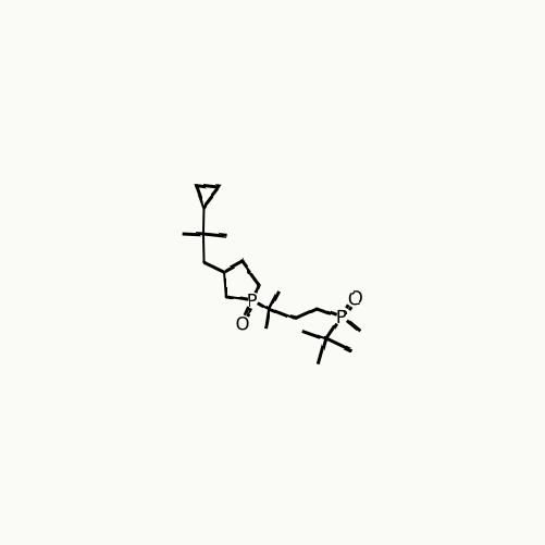 CC(C)(CC1CCP(=O)(C(C)(C)CCP(C)(=O)C(C)(C)C)C1)C1CC1